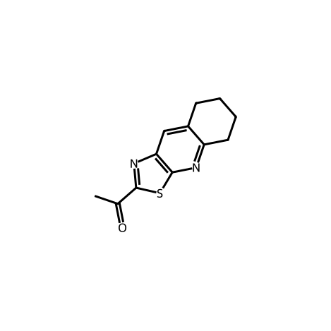 CC(=O)c1nc2cc3c(nc2s1)CCCC3